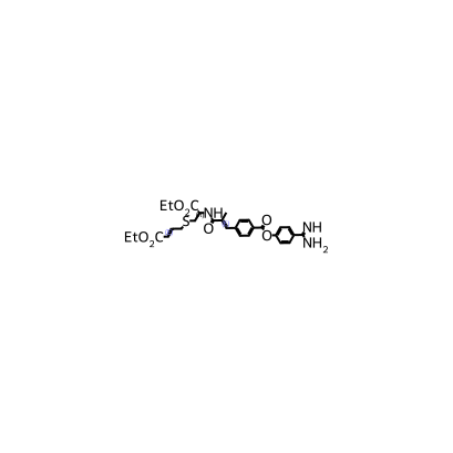 CCOC(=O)/C=C/CSC[C@H](NC(=O)/C(C)=C/c1ccc(C(=O)Oc2ccc(C(=N)N)cc2)cc1)C(=O)OCC